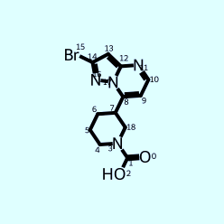 O=C(O)N1CCCC(c2ccnc3cc(Br)nn23)C1